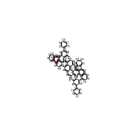 C=Cc1c(N(c2c(F)cc(-c3ccccc3)cc2-c2ccccc2)c2cccc3c2sc2ccccc23)ccc2ccc3c(N(c4c(C)cc(-c5ccccc5)cc4-c4ccccc4)c4cccc5c4sc4ccccc45)ccc(C)c3c12